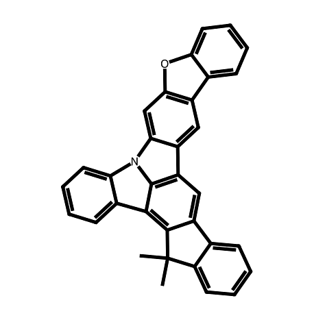 CC1(C)c2ccccc2-c2cc3c4cc5c(cc4n4c6ccccc6c(c21)c34)oc1ccccc15